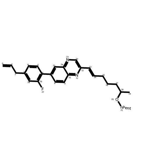 C=CCc1ccc(-c2ccc3nc(C=CCCCC(C)OCCCCC)cnc3c2)c(F)c1